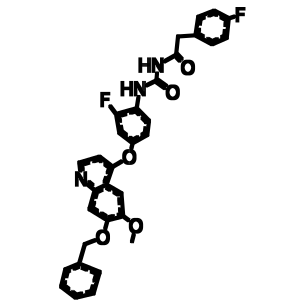 COc1cc2c(Oc3ccc(NC(=O)NC(=O)Cc4ccc(F)cc4)c(F)c3)ccnc2cc1OCc1ccccc1